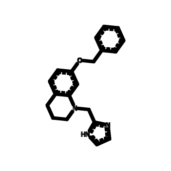 c1ccc(COc2ccc3c(c2)N(Cc2ncc[nH]2)CCC3)cc1